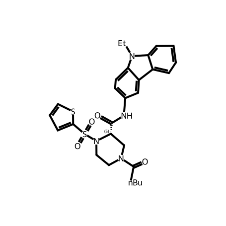 CCCCC(=O)N1CCN(S(=O)(=O)c2cccs2)[C@H](C(=O)Nc2ccc3c(c2)c2ccccc2n3CC)C1